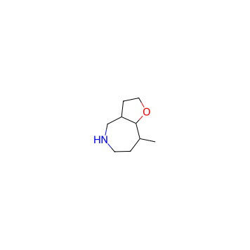 CC1CCNCC2CCOC12